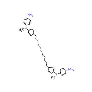 CC(c1ccc(N)cc1)c1ccc(CCCCCCCCCCCCc2ccc(C(C)c3ccc(N)cc3)cc2)cc1